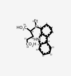 CCN(c1cccc2c1[nH]c1ccccc12)C(CCC(=O)O)C(=O)O